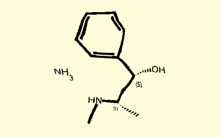 CN[C@@H](C)[C@@H](O)c1ccccc1.N